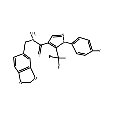 CN(Cc1ccc2c(c1)OCO2)C(=O)c1cnn(-c2ccc(Cl)cc2)c1C(F)(F)F